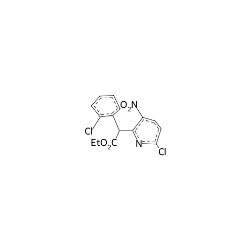 CCOC(=O)C(c1ccccc1Cl)c1nc(Cl)ccc1[N+](=O)[O-]